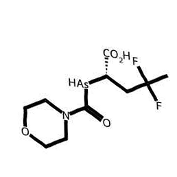 CC(F)(F)C[C@H]([AsH]C(=O)N1CCOCC1)C(=O)O